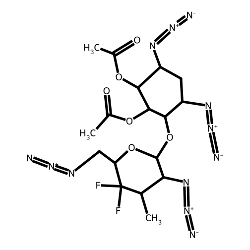 CC(=O)OC1C(N=[N+]=[N-])CC(N=[N+]=[N-])C(OC2OC(CN=[N+]=[N-])C(F)(F)C(C)C2N=[N+]=[N-])C1OC(C)=O